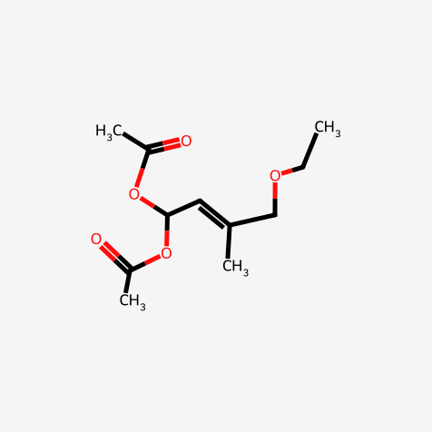 CCOCC(C)=CC(OC(C)=O)OC(C)=O